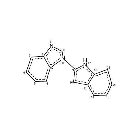 [c]1nc2ccccc2n1-c1cc2ccccc2[nH]1